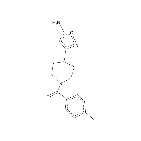 Cc1ccc(C(=O)N2CCC(c3cc(N)on3)CC2)cc1